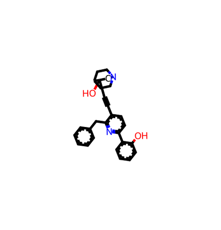 Oc1ccccc1-c1ccc(C#CC2(O)CN3CCC2CC3)c(Cc2ccccc2)n1